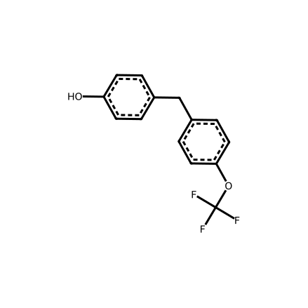 Oc1ccc(Cc2ccc(OC(F)(F)F)cc2)cc1